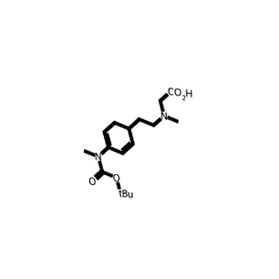 CN(CCC1C=CC(N(C)C(=O)OC(C)(C)C)=CC1)CC(=O)O